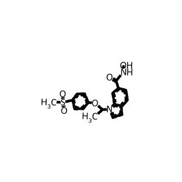 CC(Oc1ccc(S(C)(=O)=O)cc1)n1ccc2ccc(C(=O)NO)cc21